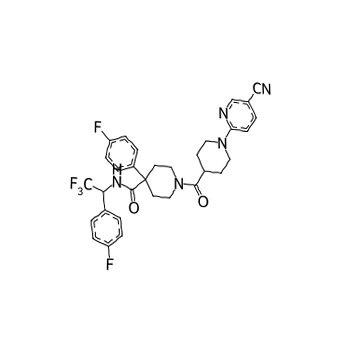 N#Cc1ccc(N2CCC(C(=O)N3CCC(C(=O)NC(c4ccc(F)cc4)C(F)(F)F)(c4ccc(F)cc4)CC3)CC2)nc1